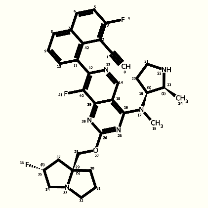 C#Cc1c(F)ccc2cccc(-c3ncc4c(N(C)[C@H]5CCN[C@H]5C)nc(OC[C@@]56CCCN5C[C@H](F)C6)nc4c3F)c12